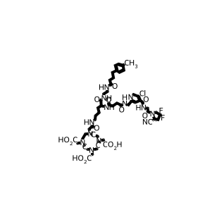 Cc1ccc(CCCC(=O)NCCNC(=O)C(CCCCNC(=O)CN2CCN(CC(=O)O)CCN(CC(=O)O)CCN(CC(=O)O)CC2)NC(=O)CCC(=O)NCc2cc(C(=O)NCC(=O)N3CC(F)(F)C[C@H]3C#N)c(Cl)cn2)cc1